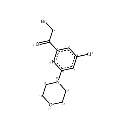 O=C(CBr)c1cc(Cl)cc(N2CCOCC2)n1